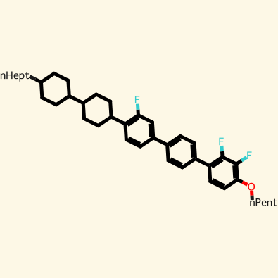 CCCCCCCC1CCC(C2CCC(c3ccc(-c4ccc(-c5ccc(OCCCCC)c(F)c5F)cc4)cc3F)CC2)CC1